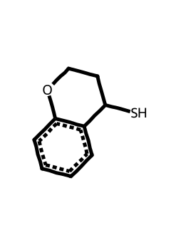 SC1CCOc2ccccc21